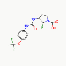 O=C(Nc1ccc(OC(F)(F)F)cc1)NC1CCN(C(=O)O)C1F